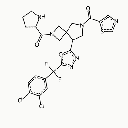 O=C(c1cncs1)N1CC(c2nnc(C(F)(F)c3ccc(Cl)c(Cl)c3)o2)C2(C1)CN(C(=O)C1CCCN1)C2